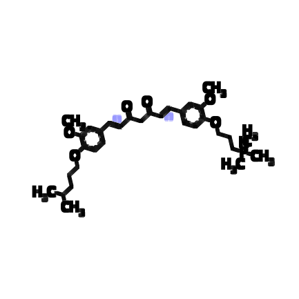 COc1cc(/C=C/C(=O)CC(=O)/C=C/c2ccc(OCCC[PH](C)(C)C)c(OC)c2)ccc1OCCCC(C)C